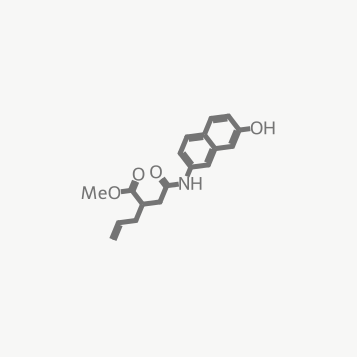 C=CCC(CC(=O)Nc1ccc2ccc(O)cc2c1)C(=O)OC